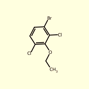 CCOc1c(Cl)ccc(Br)c1Cl